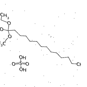 CCCCCCCCCCCCCC(O)(OCC)OCC.O=S(=O)(O)O